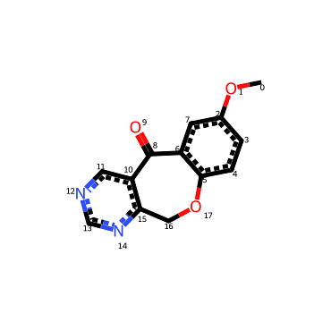 COc1ccc2c(c1)C(=O)c1cncnc1CO2